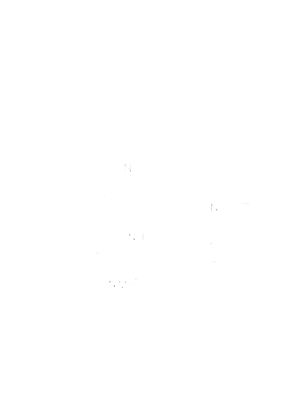 CNC(=O)C(CC1=CN=C2C=CCC=C12)NC(=O)[C@H](CC(=O)NO)CC(C)C